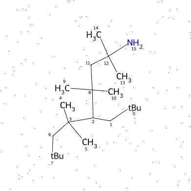 CC(C)(C)CC(C(C)(C)CC(C)(C)C)C(C)(C)CC(C)(C)N